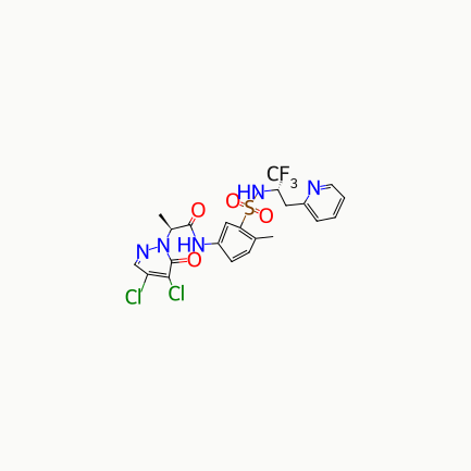 Cc1ccc(NC(=O)[C@H](C)n2ncc(Cl)c(Cl)c2=O)cc1S(=O)(=O)N[C@@H](Cc1ccccn1)C(F)(F)F